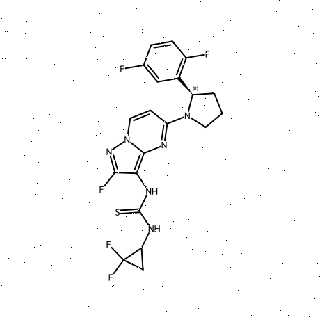 Fc1ccc(F)c([C@H]2CCCN2c2ccn3nc(F)c(NC(=S)NC4CC4(F)F)c3n2)c1